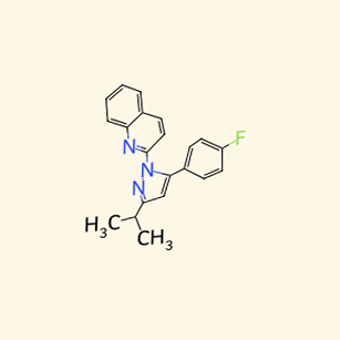 CC(C)c1cc(-c2ccc(F)cc2)n(-c2ccc3ccccc3n2)n1